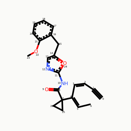 C#C/C=C\C(=C/C)C1(C(=O)Nc2ncc(Cc3ccccc3OC)o2)CC1